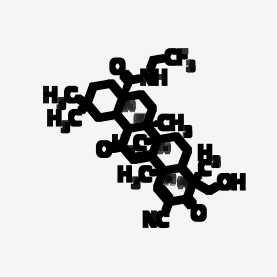 CC1(C)CC[C@]2(C(=O)NCC(F)(F)F)CC[C@]3(C)C(C(=O)C=C4[C@@]5(C)C=C(C#N)C(=O)[C@@](C)(CO)C5CC[C@]43C)C2C1